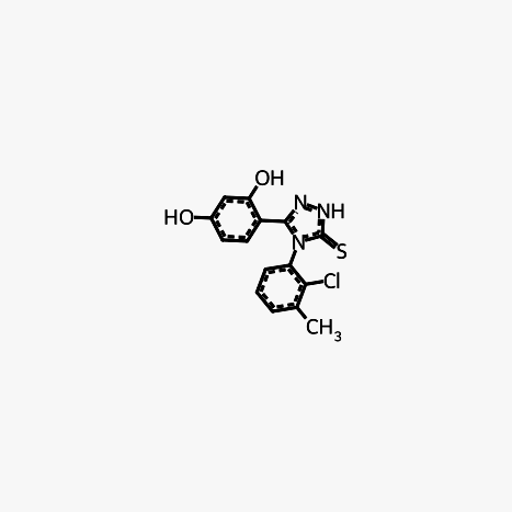 Cc1cccc(-n2c(-c3ccc(O)cc3O)n[nH]c2=S)c1Cl